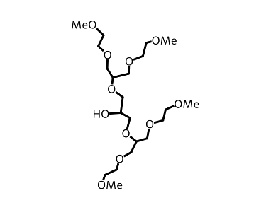 COCCOCC(COCCOC)OCC(O)COC(COCCOC)COCCOC